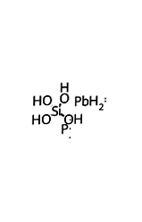 O[Si](O)(O)O.[P].[PbH2]